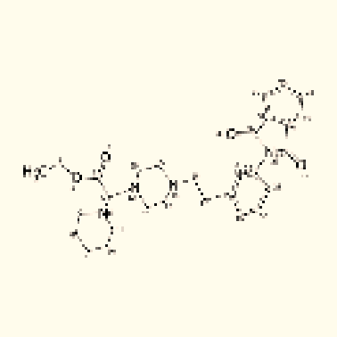 CCOC(=O)C(N1CCCCC1)N1CCN(CCc2cccc(N3C(=O)c4ccccc4C3=O)n2)CC1